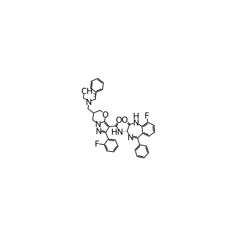 CCN(Cc1ccccc1)CC1COc2c(C(=O)N[C@H]3N=C(c4ccccc4)c4cccc(F)c4NC3=O)c(-c3ccccc3F)nn2C1